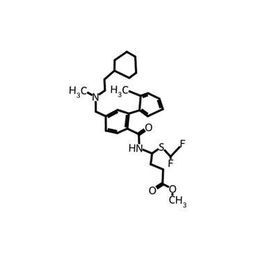 COC(=O)CCC(NC(=O)c1ccc(CN(C)CCC2CCCCC2)cc1-c1ccccc1C)SC(F)F